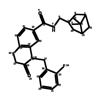 CC1(C)C2CC(CNC(=O)c3ccc4c(c3)N(Cc3ccccc3F)C(=O)CS4)CC1C2